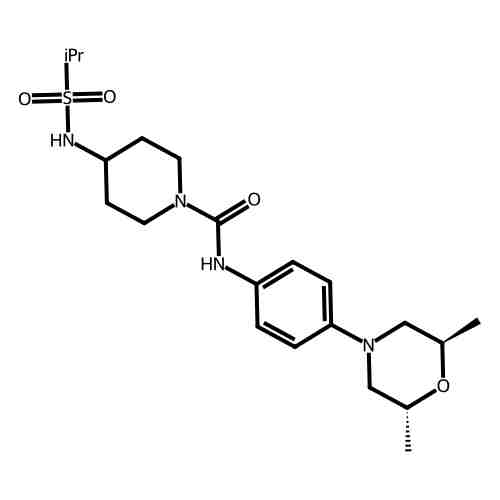 CC(C)S(=O)(=O)NC1CCN(C(=O)Nc2ccc(N3C[C@@H](C)O[C@H](C)C3)cc2)CC1